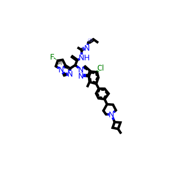 C=C(N/C(C)=N/C=C\C)C(c1ncn2c1C[C@@H](F)C2)n1cc2c(Cl)cc(-c3ccc(C4CCN(C5CC(C)C5)CC4)cc3)c(C)c2n1